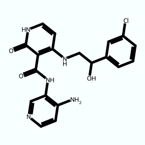 Nc1ccncc1NC(=O)c1c(NCC(O)c2cccc(Cl)c2)cc[nH]c1=O